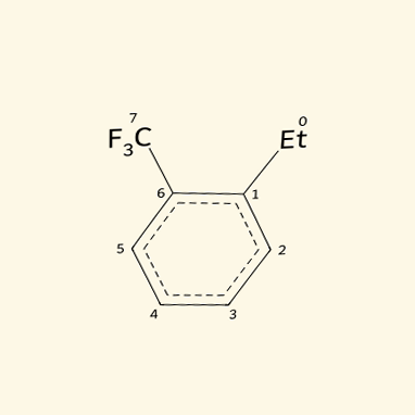 [CH2]Cc1ccccc1C(F)(F)F